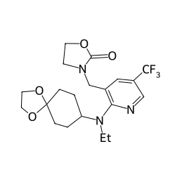 CCN(c1ncc(C(F)(F)F)cc1CN1CCOC1=O)C1CCC2(CC1)OCCO2